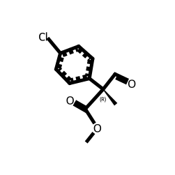 COC(=O)[C@@](C)(C=O)c1ccc(Cl)cc1